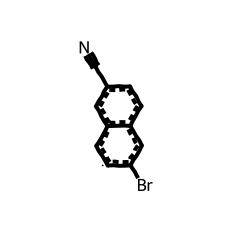 N#Cc1ccc2cc(Br)[c]cc2c1